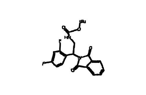 CC(C)(C)OC(=O)NCC(c1ccc(F)cc1F)N1C(=O)c2ccccc2C1=O